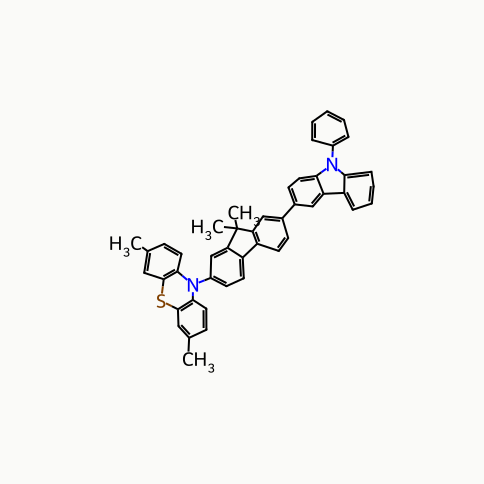 Cc1ccc2c(c1)Sc1cc(C)ccc1N2c1ccc2c(c1)C(C)(C)c1cc(-c3ccc4c(c3)c3ccccc3n4-c3ccccc3)ccc1-2